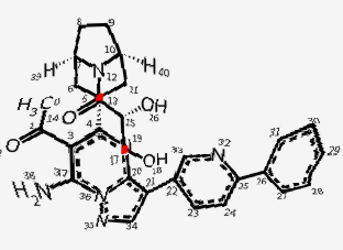 CC(=O)c1c([C@@H]2C[C@H]3CC[C@@H](C2)N3C(=O)[C@H](O)CO)nc2c(-c3ccc(-c4ccccc4)nc3)cnn2c1N